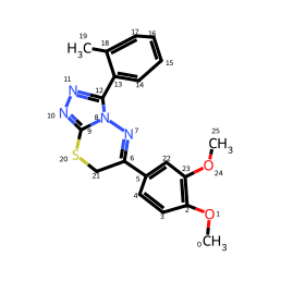 COc1ccc(C2=Nn3c(nnc3-c3ccccc3C)SC2)cc1OC